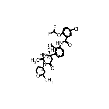 C=C1N[C@](C)(c2cccc(NC(=O)c3cc(Cl)ccc3OC(F)F)c2Cl)CC(=O)N1[C@@H]1CCOC(C)C1